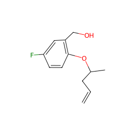 C=CCC(C)Oc1ccc(F)cc1CO